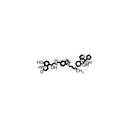 CN(CCCn1nnc2cc(CNC[C@H](O)c3ccc(O)c4[nH]c(=O)ccc34)ccc21)[C@H]1CC[C@H](c2ccsc2C(O)(C(=O)O)C2CCCC2)CC1